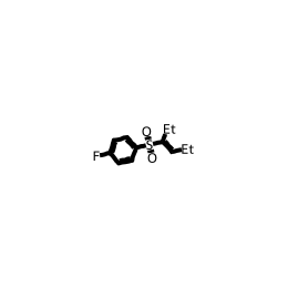 CCC=C(CC)S(=O)(=O)c1ccc(F)cc1